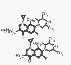 COc1c(N2CC(C)NC(C)C2I)c(F)cc2c(=O)c(C(=O)O)cn(C3CC3)c12.COc1c(N2CC(C)NC(C)C2I)c(F)cc2c(=O)c(C(=O)O)cn(C3CC3)c12.Cl.Cl.O